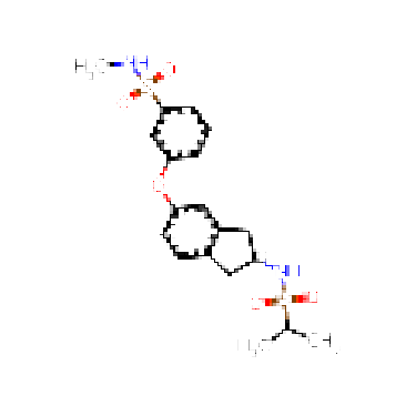 CNS(=O)(=O)c1cccc(Oc2ccc3c(c2)C[C@@H](NS(=O)(=O)C(C)C)C3)c1